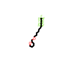 FC(F)(F)C(F)(F)C(F)(F)C(F)(F)CCCCCCOCC1CCCCO1